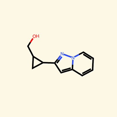 OCC1CC1c1cc2ccccn2n1